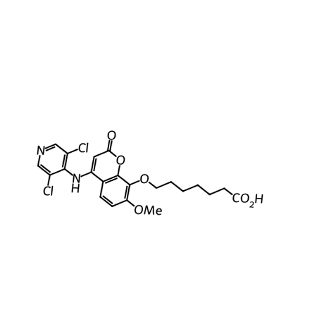 COc1ccc2c(Nc3c(Cl)cncc3Cl)cc(=O)oc2c1OCCCCCCC(=O)O